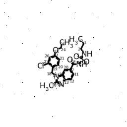 CCCNS(=O)(=O)NC(=O)c1ccc2nc(C)n(Cc3ccc(OCC)cc3Cl)c2c1